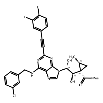 CNC(=O)[C@@]1([C@@H](O)[C@@H](O)n2cnc3c(NCc4cccc(Cl)c4)nc(C#Cc4ccc(F)c(F)c4)nc32)C[C@@H]1C